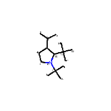 CC(C)C1CCN(C(C)(C)C)C1C(C)(C)C